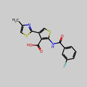 Cc1csc(-c2csc(NC(=O)c3cccc(F)c3)c2C(=O)O)n1